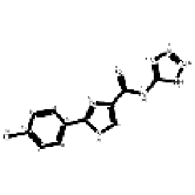 O=C(Nc1nnn[nH]1)c1csc(-c2ccc(Cl)cc2)n1